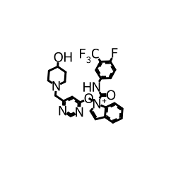 O=C(Nc1ccc(F)c(C(F)(F)F)c1)[N+]1(Oc2cc(CN3CCC(O)CC3)ncn2)C=Cc2ccccc21